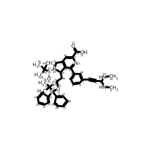 CNC(C#Cc1cccc(-c2nc(C(=O)O)cc3c2C(CCO[Si](c2ccccc2)(c2ccccc2)C(C)(C)C)N([S@+]([O-])C(C)(C)C)C3)c1)NC